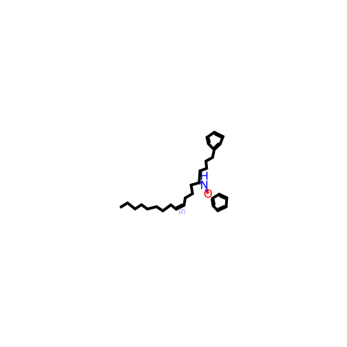 CCCCCCCC/C=C\CCCC(CCCCc1ccccc1)NOc1ccccc1